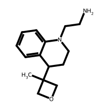 CC1(C2CCN(CCN)c3ccccc32)COC1